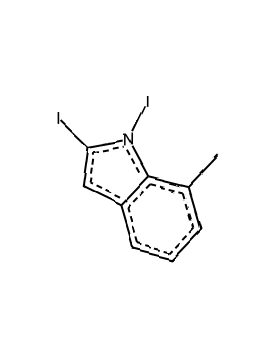 Cc1cccc2cc(I)n(I)c12